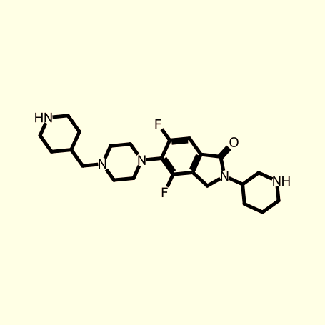 O=C1c2cc(F)c(N3CCN(CC4CCNCC4)CC3)c(F)c2CN1C1CCCNC1